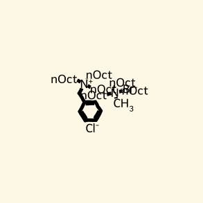 CCCCCCCC[N+](C)(CCCCCCCC)CCCCCCCC.CCCCCCCC[N+](CCCCCCCC)(CCCCCCCC)Cc1ccccc1.[Br-].[Cl-]